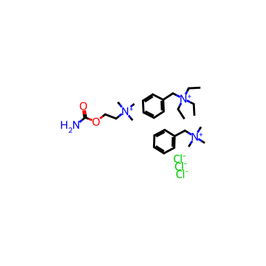 CC[N+](CC)(CC)Cc1ccccc1.C[N+](C)(C)CCOC(N)=O.C[N+](C)(C)Cc1ccccc1.[Cl-].[Cl-].[Cl-]